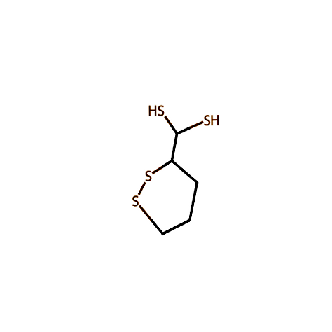 SC(S)C1CCCSS1